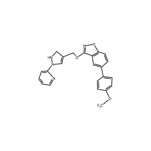 FC(F)(F)Oc1ccc(-c2ccc3onc(OCC4=CN(c5ccccn5)NC4)c3c2)cc1